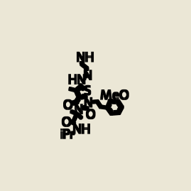 COc1ccccc1CCn1c(=O)n(C(C)(C)C(=O)NC(C)C)c(=O)c2c(C)c(N/N=C\C=N)sc21